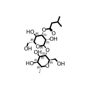 CC(C)CC(=O)O[C@@H]1[C@H](O)[C@@H](O[C@H]2[C@H](O)[C@H](O)[C@@H](C)O[C@@H]2CO)O[C@H](CO)[C@H]1O